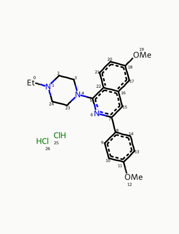 CCN1CCN(c2nc(-c3ccc(OC)cc3)cc3cc(OC)ccc23)CC1.Cl.Cl